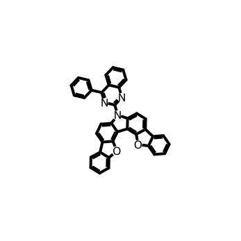 c1ccc(-c2nc(-n3c4ccc5c6ccccc6oc5c4c4c5oc6ccccc6c5ccc43)nc3ccccc23)cc1